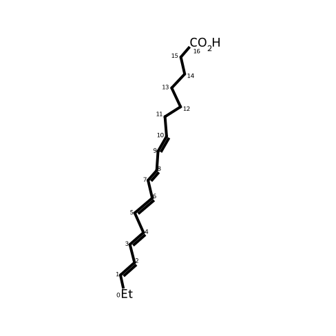 CCC=CC=CC=CC=CC=CCCCCCC(=O)O